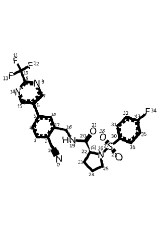 N#Cc1ccc(-c2cnc(C(F)(F)F)nc2)cc1CNC(=O)[C@@H]1CCCN1S(=O)(=O)c1ccc(F)cc1